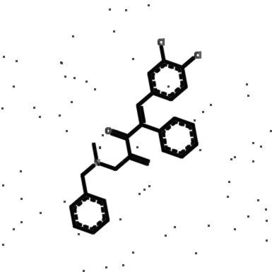 C=C(CN(C)Cc1ccccc1)C(=O)/C(=C/c1ccc(Cl)c(Cl)c1)c1ccccc1